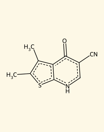 Cc1sc2[nH]cc(C#N)c(=O)c2c1C